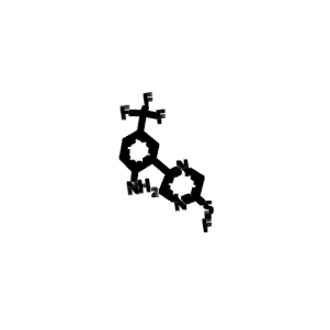 Nc1ccc(C(F)(F)F)cc1-c1cnc(SF)cn1